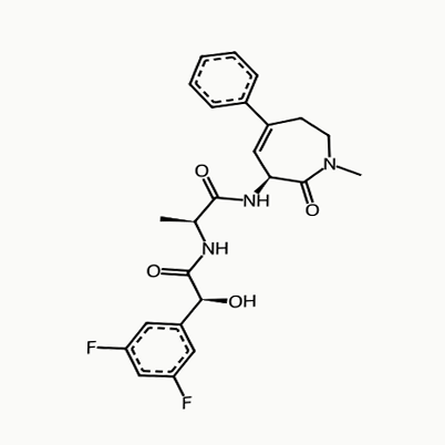 C[C@H](NC(=O)[C@@H](O)c1cc(F)cc(F)c1)C(=O)N[C@H]1C=C(c2ccccc2)CCN(C)C1=O